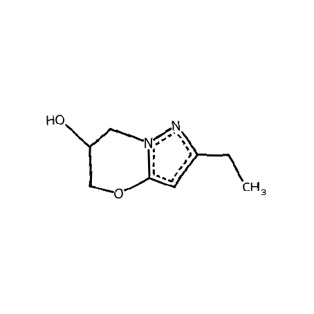 CCc1cc2n(n1)CC(O)CO2